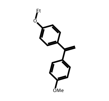 C=C(c1ccc(OC)cc1)c1ccc(OCC)cc1